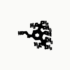 CC(C)(C)c1cc(SCO)cc(C(C)(C)C)c1O